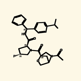 CC(=O)N1C[C@]2(C(=O)N3C[C@H](F)C[C@H]3C(=O)N[C@@H](c3ccccc3)c3ccc(C(C)C)cc3)CC1CO2